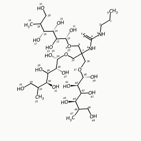 CCCNC(=S)NC(CO[C@@H](O)C(O)[C@@H](O)[C@H](O)C(C)CO)(CO[C@@H](O)[C@H](O)C(O)[C@@H](O)C(C)CO)CO[C@H](O)[C@H](O)C(O)[C@H](O)C(C)CO